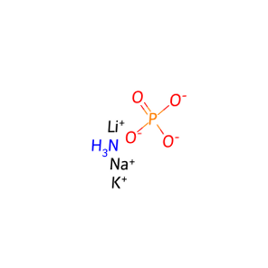 N.O=P([O-])([O-])[O-].[K+].[Li+].[Na+]